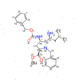 CCC(CC)C[C@H](N)[C@H]1[C@H](NC(=O)OCc2ccccc2)C[C@H](C(=O)OC(C)(C)C)N1Cc1ccccc1